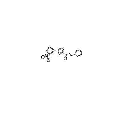 O=C(C=Cc1ccccc1)c1nc(-c2cccc([N+](=O)[O-])c2)cs1